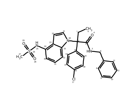 CCC(C(=O)NCc1ccccc1)(c1ccc(Cl)cc1)n1ccc2c(NS(C)(=O)=O)cccc21